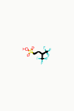 O=S(=O)(O)CCC(C(F)(F)F)C(F)(F)F